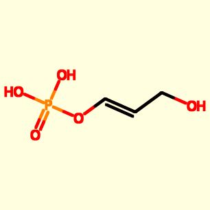 O=P(O)(O)O/C=C/CO